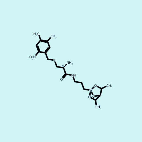 Cc1cc(CSC[C@@H](N)C(=O)NCCC[Si]23OC(C)C(O2)C(C)O3)c([N+](=O)[O-])cc1C